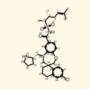 C/C(F)=C/C[C@@H](C)[C@H](C)S(=O)(=O)NC(=O)c1ccc2c(c1)N(C[C@@H]1CCCN1)C[C@@]1(CCCc3cc(Cl)ccc31)CO2